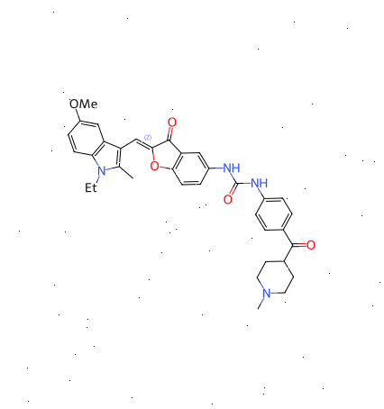 CCn1c(C)c(/C=C2\Oc3ccc(NC(=O)Nc4ccc(C(=O)C5CCN(C)CC5)cc4)cc3C2=O)c2cc(OC)ccc21